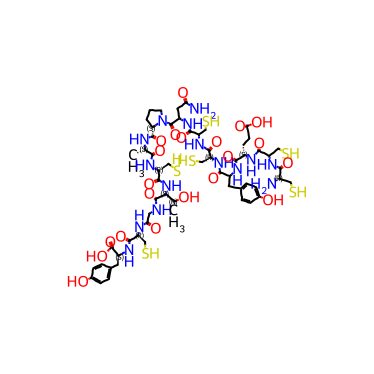 C[C@H](NC(=O)[C@@H]1CCCN1C(=O)C(CC(N)=O)NC(=O)C(CS)NC(=O)[C@H](CS)NC(=O)C(Cc1ccc(O)cc1)NC(=O)[C@H](CCC(=O)O)NC(=O)C(CS)NC(=O)[C@@H](N)CS)C(=O)N[C@@H](CS)C(=O)N[C@H](C(=O)NCC(=O)N[C@@H](CS)C(=O)N[C@@H](Cc1ccc(O)cc1)C(=O)O)[C@@H](C)O